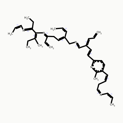 C=C/C=C(\C=C\c1ccc(/C=C\C/C=N\C=C/C)c(C)n1)/C=N/CC(/C=C\C)=C/C/C(C=C)=N/C(C(/CC)=N/C=C\C)=C(\C)CC